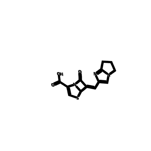 O=C(O)C1=CSC2C(=Cc3cn4c(n3)CCC4)C(=O)N12